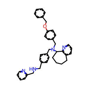 c1ccc(COc2ccc(CN(Cc3ccc(CNCc4ccccn4)cc3)C3CCCCc4cccnc43)cc2)cc1